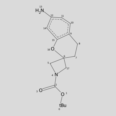 CC(C)(C)OC(=O)N1CC2(CCc3ccc(N)cc3O2)C1